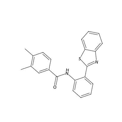 Cc1ccc(C(=O)Nc2ccccc2-c2nc3ccccc3s2)cc1C